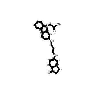 O=C(O)Cn1c2ccccc2c2ccc(OCCCOc3ccc4c(c3)CCC4=O)cc21